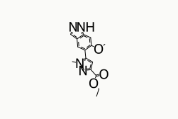 CCOC(=O)c1cc(-c2cc3cn[nH]c3cc2OC)n(C)n1